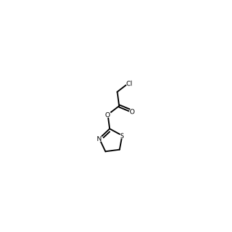 O=C(CCl)OC1=NCCS1